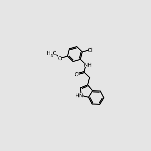 COc1ccc(Cl)c(NC(=O)Cc2c[nH]c3ccccc23)c1